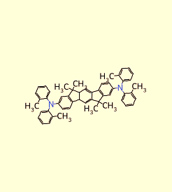 Cc1ccccc1N(c1ccc2c(c1)C(C)(C)C1=CC3c4ccc(N(c5ccccc5C)c5ccccc5C)cc4C(C)(C)C3C=C12)c1ccccc1C